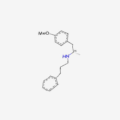 COc1ccc(C[C@H](C)NCCCc2ccccc2)cc1